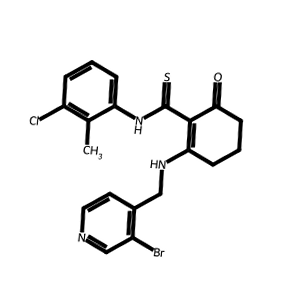 Cc1c(Cl)cccc1NC(=S)C1=C(NCc2ccncc2Br)CCCC1=O